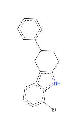 CCc1cccc2c3c([nH]c12)CCC(c1ccccc1)C3